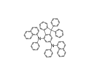 c1ccc(N(c2cc(N(c3ccccc3)c3cccc4ccccc34)c3c(c2)C(c2ccccc2)(c2ccccc2)c2ccccc2-3)c2cccc3ccccc23)cc1